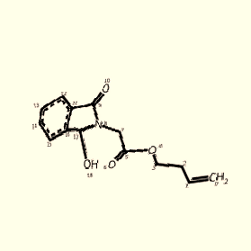 C=CCCOC(=O)CN1C(=O)c2ccccc2C1O